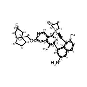 C#Cc1c(F)ccc2cc(N)cc(-c3nc(N4CC[C@@H]4C)c4cnc(OC[C@@]56CCCN5C[C@H](F)C6)nc4c3F)c12